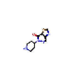 O=c1c2scnc2cnn1C1CCNCC1